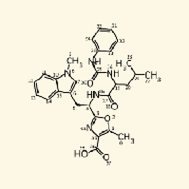 Cc1oc([C@@H](Cc2cn(C)c3ccccc23)NC(=O)C(CC(C)C)NC(=O)Nc2ccccc2)nc1C(=O)O